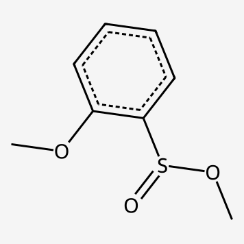 COc1ccccc1S(=O)OC